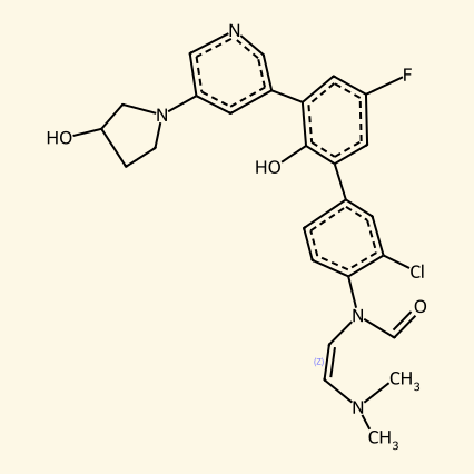 CN(C)/C=C\N(C=O)c1ccc(-c2cc(F)cc(-c3cncc(N4CCC(O)C4)c3)c2O)cc1Cl